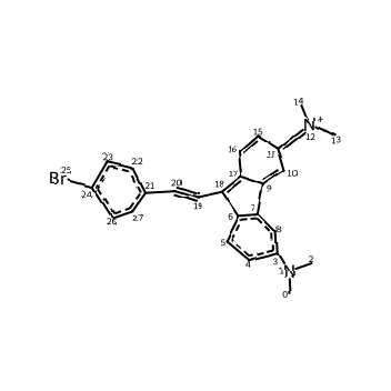 CN(C)c1ccc2c(c1)C1=CC(=[N+](C)C)C=CC1=C2C#Cc1ccc(Br)cc1